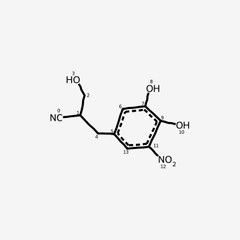 N#CC(CO)Cc1cc(O)c(O)c([N+](=O)[O-])c1